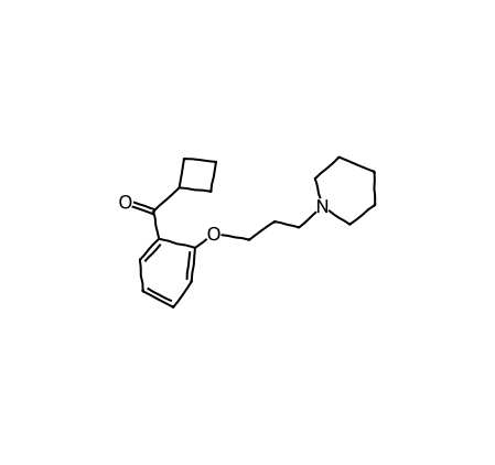 O=C(c1ccccc1OCCCN1CCCCC1)C1CCC1